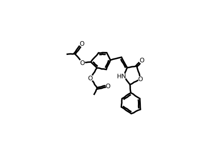 CC(=O)Oc1ccc(/C=C2\NC(c3ccccc3)OC2=O)cc1OC(C)=O